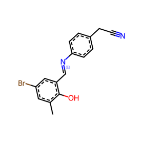 Cc1cc(Br)cc(/C=N/c2ccc(CC#N)cc2)c1O